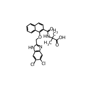 CC(C)(NC(=O)c1ccc2ccccc2c1OCc1nc2cc(Cl)c(Cl)cc2[nH]1)C(=O)O